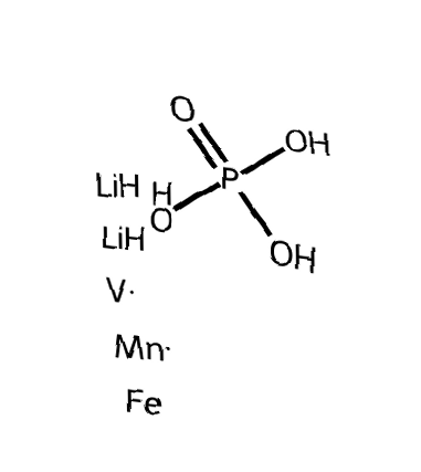 O=P(O)(O)O.[Fe].[LiH].[LiH].[Mn].[V]